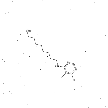 CSCCCCCCCCNc1ncnc(Cl)c1C